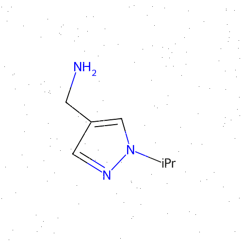 CC(C)n1cc(CN)cn1